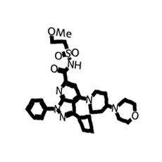 COCCS(=O)(=O)NC(=O)c1cc(N2CCC(N3CCOCC3)CC2)c2c(C3CCC3)nn(-c3ccccc3)c2n1